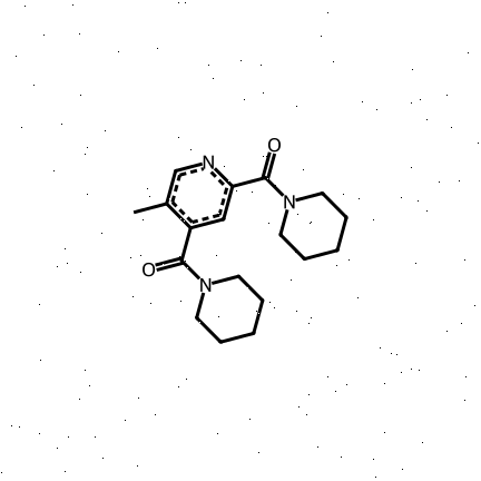 Cc1cnc(C(=O)N2CCCCC2)cc1C(=O)N1CCCCC1